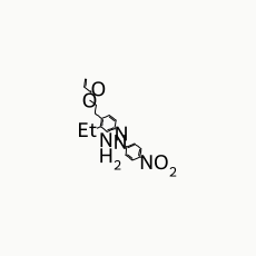 C=CC(=O)OCCc1ccc(N=Nc2ccc([N+](=O)[O-])cc2)c(N)c1CC